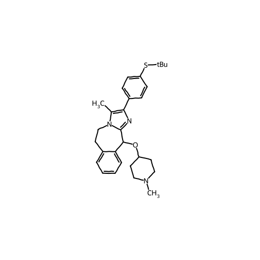 Cc1c(-c2ccc(SC(C)(C)C)cc2)nc2n1CCc1ccccc1C2OC1CCN(C)CC1